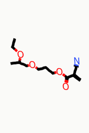 C=C(C#N)C(=O)OCCCOCC(C)OCC